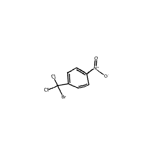 O=[N+]([O-])c1ccc(C(Cl)(Cl)Br)cc1